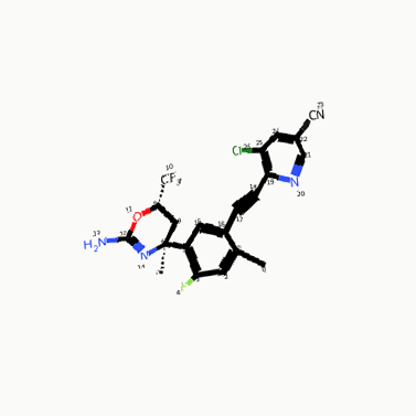 Cc1cc(F)c([C@]2(C)C[C@@H](C(F)(F)F)OC(N)=N2)cc1C#Cc1ncc(C#N)cc1Cl